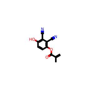 C=C(C)C(=O)Oc1ccc(O)c(C#N)c1C#N